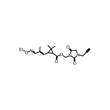 C#CCN1CC(=O)N(COC(=O)C2C(/C=C(C)/C=N/OCC)C2(C)C)C1=O